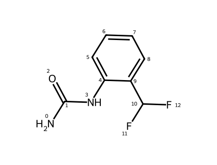 NC(=O)Nc1ccccc1C(F)F